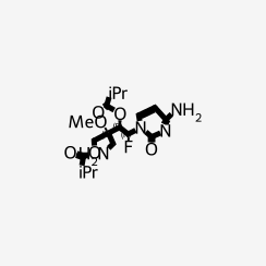 CO[C@](CN)(COC(=O)C(C)C)[C@@H](OC(=O)C(C)C)[C@@H](F)n1ccc(N)nc1=O